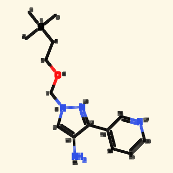 C[Si](C)(C)CCOCn1cc(N)c(-c2cccnc2)n1